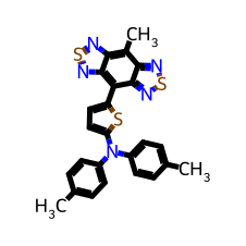 Cc1ccc(N(c2ccc(C)cc2)c2ccc(-c3c4c(c(C)c5nsnc35)N=S=N4)s2)cc1